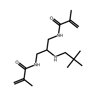 C=C(C)C(=O)NCC(CNC(=O)C(=C)C)NCC(C)(C)C